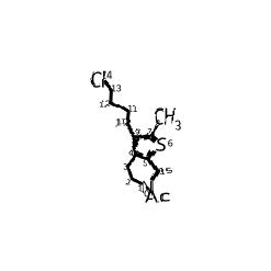 CC(=O)N1CCc2c(sc(C)c2CCCCCl)C1